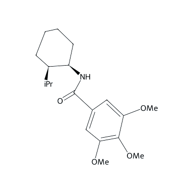 COc1cc(C(=O)N[C@@H]2CCCC[C@@H]2C(C)C)cc(OC)c1OC